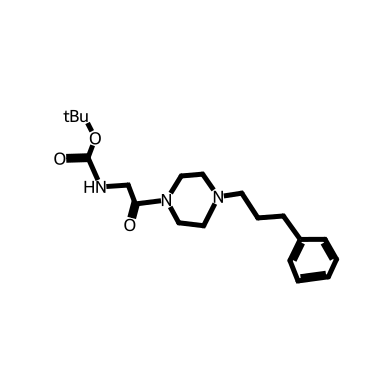 CC(C)(C)OC(=O)NCC(=O)N1CCN(CCCc2ccccc2)CC1